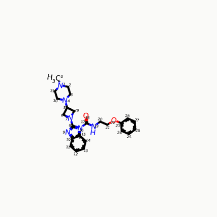 CN1CCN(C2CN(c3nc4ccccc4n3C(=O)NCCOc3ccccc3)C2)CC1